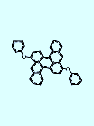 c1ccc(Oc2ccc3c4c2cc2ccccc2c4c2ccc(Oc4ccccc4)c4cc5ccccc5c3c42)cc1